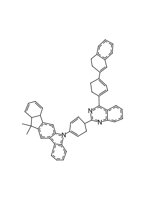 CC1(C)c2cc3c4ccccc4n(C4=CCC(c5nc(C6=CC=C(C7=Cc8ccccc8CC7)CC6)c6ccccc6n5)C=C4)c3cc2C2C=CC=CC21